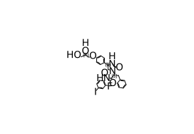 O=C(Nc1ccc(I)cc1F)[C@H](Cc1ccccc1)N1C(=O)N[C@H](c2ccc(OC[C@H](O)CO)cc2)C1=O